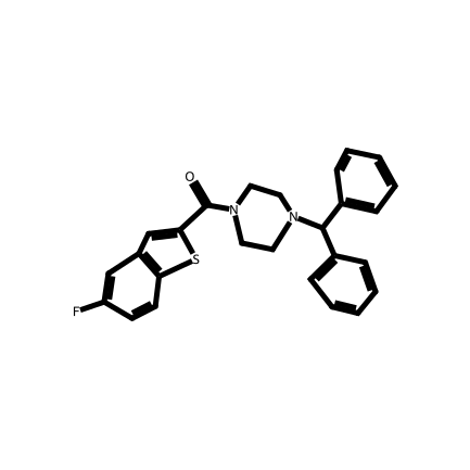 O=C(c1cc2cc(F)ccc2s1)N1CCN(C(c2ccccc2)c2ccccc2)CC1